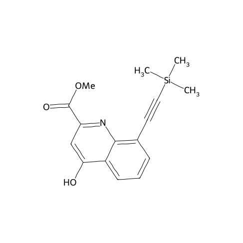 COC(=O)c1cc(O)c2cccc(C#C[Si](C)(C)C)c2n1